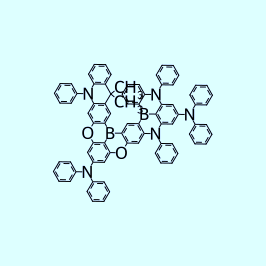 CC1(C)c2ccccc2N(c2ccccc2)c2cc3c(cc21)B1c2cc4c(cc2Oc2cc(N(c5ccccc5)c5ccccc5)cc(c21)O3)N(c1ccccc1)c1cc(N(c2ccccc2)c2ccccc2)cc2c1B4c1ccccc1N2c1ccccc1